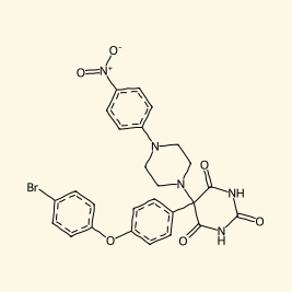 O=C1NC(=O)C(c2ccc(Oc3ccc(Br)cc3)cc2)(N2CCN(c3ccc([N+](=O)[O-])cc3)CC2)C(=O)N1